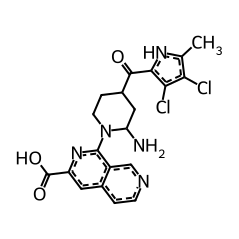 Cc1[nH]c(C(=O)C2CCN(c3nc(C(=O)O)cc4ccncc34)C(N)C2)c(Cl)c1Cl